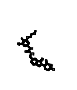 COCCOc1cc(NC(=O)NCc2ccc3c(c2)C(=O)N(C2CCC(=O)NC2=O)C3)cc(Cl)c1C